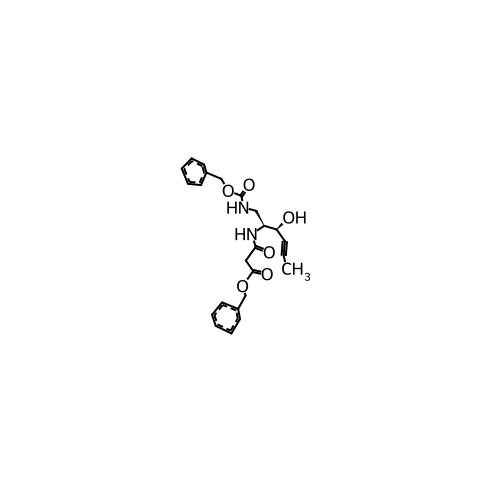 CC#C[C@H](O)[C@H](CNC(=O)OCc1ccccc1)NC(=O)CC(=O)OCc1ccccc1